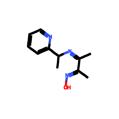 CC(=NO)C(C)=NC(C)c1ccccn1